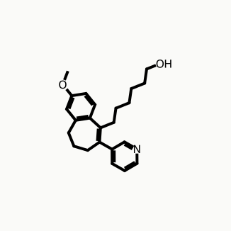 COc1ccc2c(c1)CCCC(c1cccnc1)=C2CCCCCCO